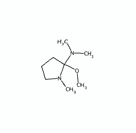 COC1(N(C)C)CCCN1C